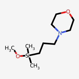 CO[Si](C)(C)CCCN1CCOCC1